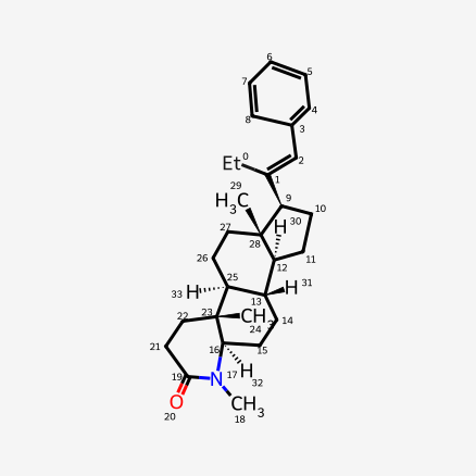 CC/C(=C\c1ccccc1)[C@H]1CC[C@H]2[C@@H]3CC[C@H]4N(C)C(=O)CC[C@]4(C)[C@H]3CC[C@]12C